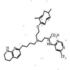 CC1=C\CC(C)/C=C/C=C\1OCCN(CCCCc1ccc2c(n1)NCCC2)CC[C@H](Nc1cc(C(F)(F)F)ncn1)C(=O)O